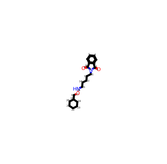 O=C1c2ccccc2C(=O)N1CCCCCNOCC1CCCCC1